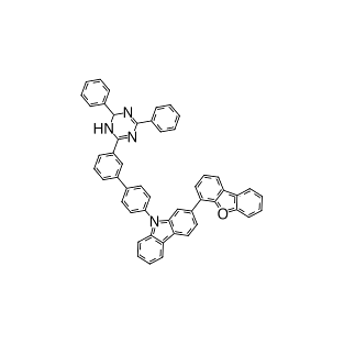 c1ccc(C2=NC(c3ccccc3)NC(c3cccc(-c4ccc(-n5c6ccccc6c6ccc(-c7cccc8c7oc7ccccc78)cc65)cc4)c3)=N2)cc1